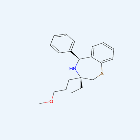 CC[C@]1(CCCOC)CSc2ccccc2[C@H](c2ccccc2)N1